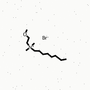 CCCCCCCC[N+](C)(C)CCOC.[Br-]